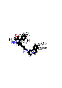 COC(=O)C1=C(C)NC(C)C(CCCCCCNC2CCN3CCc4c(ccc(OC)c4OC)C3C2)(C(=O)O)C1c1cccc([N+](=O)[O-])c1